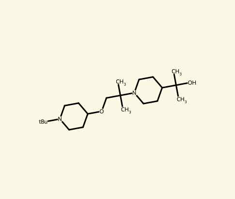 CC(C)(O)C1CCN(C(C)(C)COC2CCN(C(C)(C)C)CC2)CC1